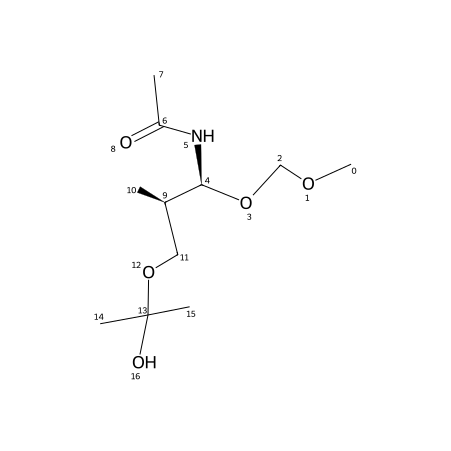 COCO[C@H](NC(C)=O)[C@H](C)COC(C)(C)O